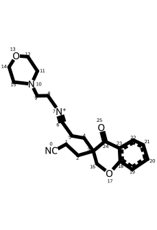 N#CCCC1(CCC#[N+]CCN2CCOCC2)COc2ccccc2C1=O